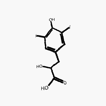 O=C(O)C(O)Cc1cc(I)c(O)c(I)c1